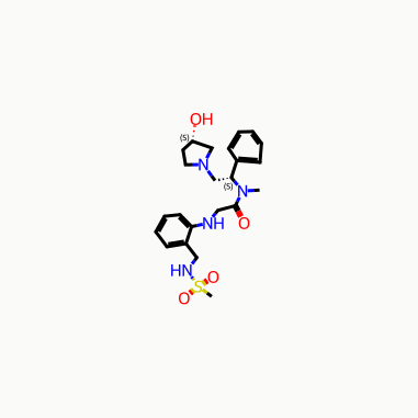 CN(C(=O)CNc1ccccc1CNS(C)(=O)=O)[C@H](CN1CC[C@H](O)C1)c1ccccc1